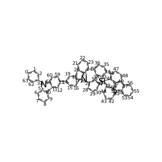 c1ccc(-n2c3ccccc3c3cc(-c4ccc5c(c4)c4ccccc4n5-c4cccc([Si](c5ccccc5)(c5ccccc5)c5cccc6c5sc5ccccc56)c4)ccc32)cc1